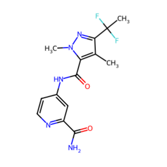 Cc1c(C(C)(F)F)nn(C)c1C(=O)Nc1ccnc(C(N)=O)c1